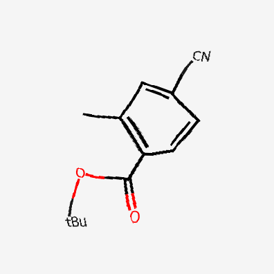 Cc1cc(C#N)ccc1C(=O)OC(C)(C)C